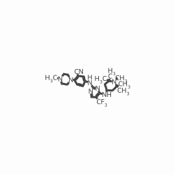 CN1CCN(c2ccc(Nc3ncc(C(F)(F)F)c(NC4CC(C)(C)N(C)C(C)(C)C4)n3)cc2C#N)CC1